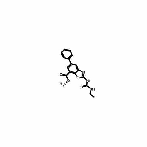 CCNC(=O)Nc1nc2cc(-c3ccccc3)cc(C(=O)ON)c2o1